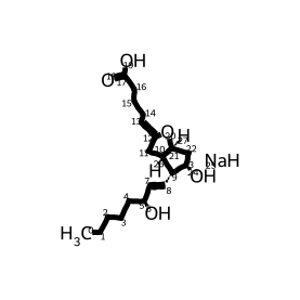 CCCCC[C@H](O)C=C[C@@H]1[C@H]2CC(=CCCCC(=O)O)O[C@H]2C[C@H]1O.[NaH]